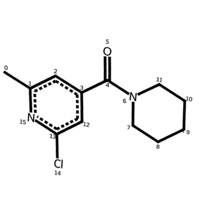 Cc1cc(C(=O)N2CC[CH]CC2)cc(Cl)n1